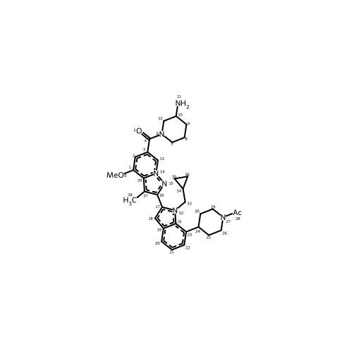 COc1cc(C(=O)N2CCCC(N)C2)cn2nc(-c3cc4cccc(C5CCN(C(C)=O)CC5)c4n3CC3CC3)c(C)c12